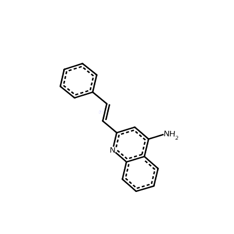 Nc1cc(/C=C/c2ccccc2)nc2ccccc12